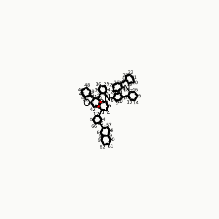 c1cc(-c2ccc(N(c3ccc(-c4ccccc4-n4c5ccccc5c5ccccc54)cc3)c3ccccc3-c3cccc4oc5ccccc5c34)cc2)cc(-c2ccc3ccccc3c2)c1